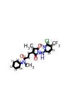 CC1=C(CCC(=O)N(C)c2ccccc2)C(=O)N(Nc2ccc(C(F)(F)F)c(Cl)n2)C1=O